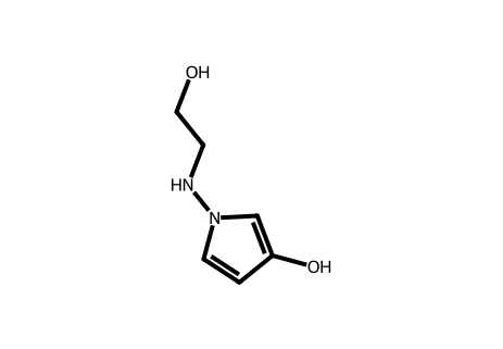 OCCNn1ccc(O)c1